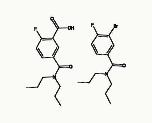 CCCN(CCC)C(=O)c1ccc(F)c(Br)c1.CCCN(CCC)C(=O)c1ccc(F)c(C(=O)O)c1